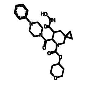 O=C(NO)C1CC2(CC2)CN(C(=O)OC2CCOCC2)C1C(=O)N1CCN(c2ccccc2)CC1